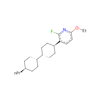 CCC[C@H]1CC[C@H]([C@H]2CC[C@H](c3ccc(OCC)nc3F)CC2)CC1